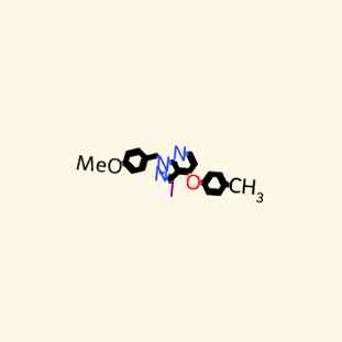 COc1ccc(Cn2nc(I)c3c(Oc4ccc(C)cc4)ccnc32)cc1